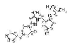 Cc1cc(N2CCN(Cc3ccncc3)CC2=O)nn1Cc1cc(Cl)ccc1OCC(C)C